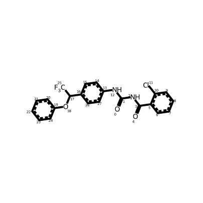 O=C(NC(=O)c1ccccc1Cl)Nc1ccc(C(Oc2ccccc2)C(F)(F)F)cc1